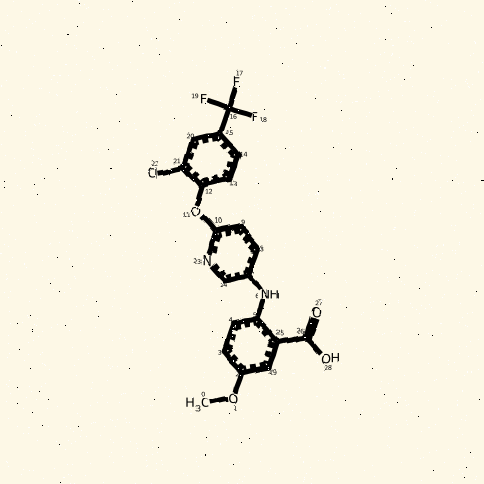 COc1ccc(Nc2ccc(Oc3ccc(C(F)(F)F)cc3Cl)nc2)c(C(=O)O)c1